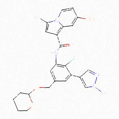 CC(=O)c1cc(C(=O)Nc2cc(COC3CCCCO3)cc(-c3cnn(C)c3)c2F)c2cc(O)ccn12